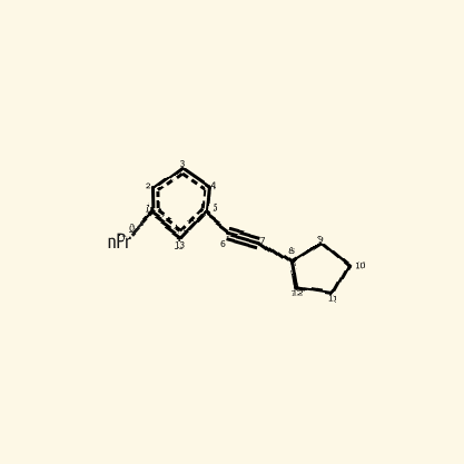 CCCc1cccc(C#CC2CCCC2)c1